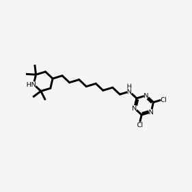 CC1(C)CC(CCCCCCCCNc2nc(Cl)nc(Cl)n2)CC(C)(C)N1